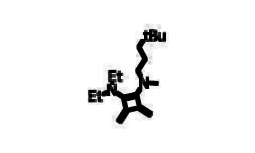 C=C1C(=C)C(N(CC)CC)=C1N(C)CCCC(C)(C)C